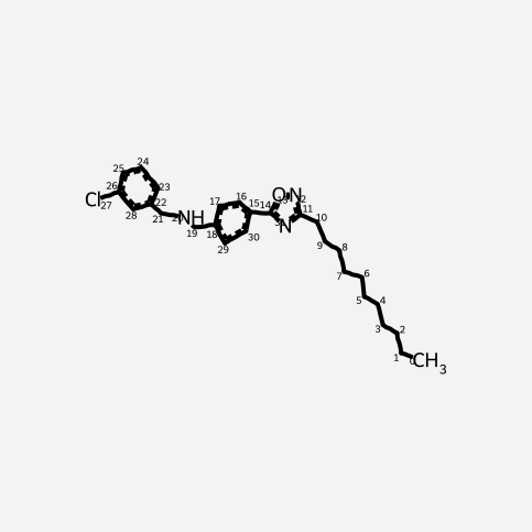 CCCCCCCCCCCc1noc(-c2ccc(CNCc3cccc(Cl)c3)cc2)n1